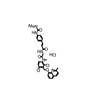 CNC(=O)Nc1ccc(C=CC(=O)NCC(=O)N(C)c2ccc(Cl)c(COc3cccc4ccc(C)nc34)c2Cl)cc1.Cl